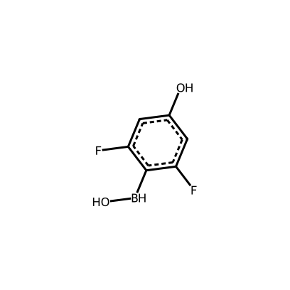 OBc1c(F)cc(O)cc1F